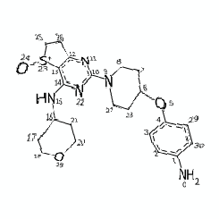 Nc1ccc(OC2CCN(c3nc4c(c(NC5CCOCC5)n3)[S+]([O-])CC4)CC2)cc1